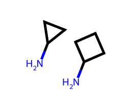 NC1CC1.NC1CCC1